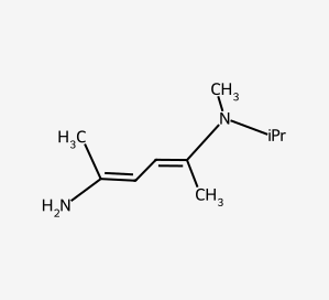 C/C(N)=C\C=C(/C)N(C)C(C)C